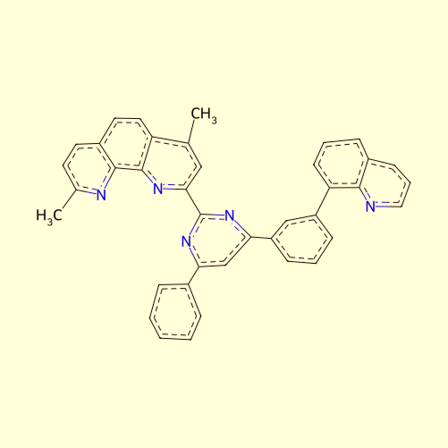 Cc1ccc2ccc3c(C)cc(-c4nc(-c5ccccc5)cc(-c5cccc(-c6cccc7cccnc67)c5)n4)nc3c2n1